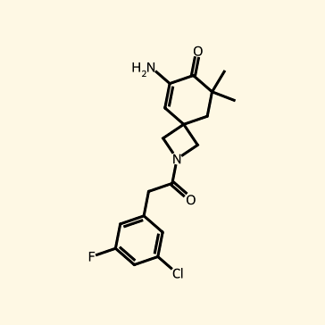 CC1(C)CC2(C=C(N)C1=O)CN(C(=O)Cc1cc(F)cc(Cl)c1)C2